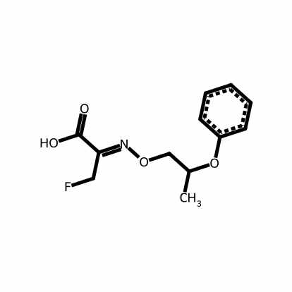 CC(CO/N=C(\CF)C(=O)O)Oc1ccccc1